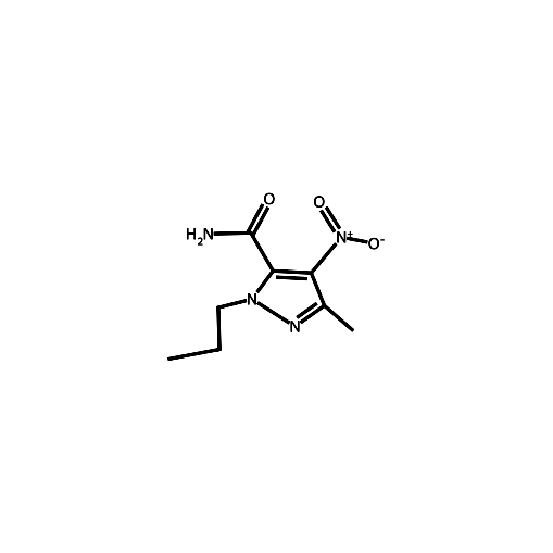 CCCn1nc(C)c([N+](=O)[O-])c1C(N)=O